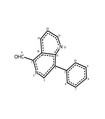 O=Cc1ncc(-c2ccccc2)c2ncccc12